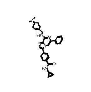 CN(C)c1ccc(CNc2nc(-c3ccccc3)cn3c(-c4ccc(C(=O)NC5CC5)cc4)cnc23)cc1